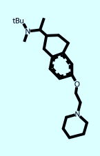 CC(C1CCc2cc(OCCN3CCCCC3)ccc2C1)N(C)C(C)(C)C